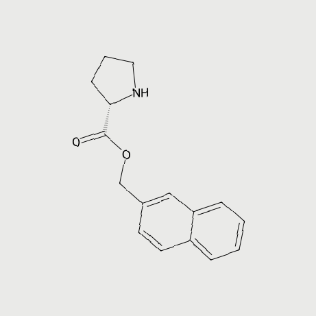 O=C(OCc1ccc2ccccc2c1)[C@@H]1CCCN1